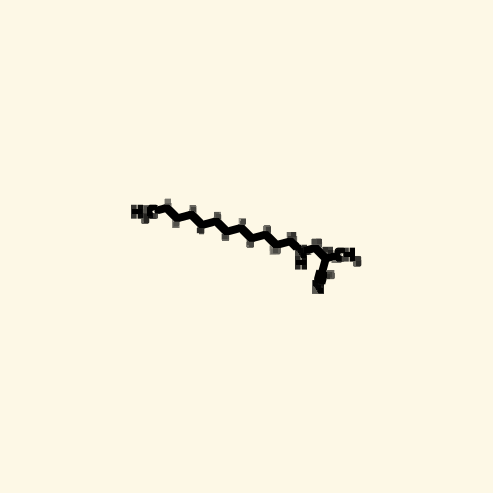 CCCCCCCCCCCCNCC(C)C#N